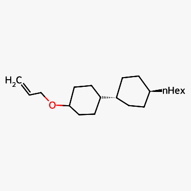 C=CCOC1CCC([C@H]2CC[C@H](CCCCCC)CC2)CC1